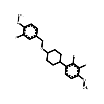 COc1ccc(COC2CCC(c3ccc(OC)c(F)c3F)CC2)cc1F